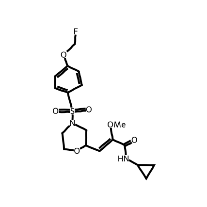 CO/C(=C\C1CN(S(=O)(=O)c2ccc(OCF)cc2)CCO1)C(=O)NC1CC1